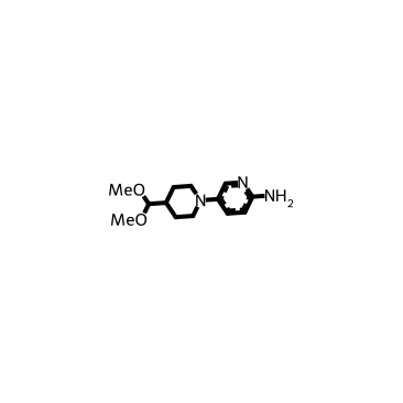 COC(OC)C1CCN(c2ccc(N)nc2)CC1